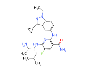 CCN1N=C(C2CC2)C2CC(Nc3nc(N[C@H](CC(C)C)[C@H](C)N)c(F)cc3C(N)=O)=CC=C21